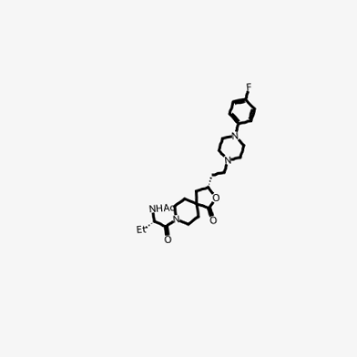 CC[C@H](NC(C)=O)C(=O)N1CCC2(CC1)C[C@H](CCN1CCN(c3ccc(F)cc3)CC1)OC2=O